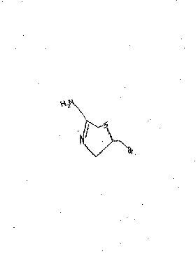 NC1=NCC(Br)S1